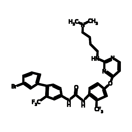 CN(C)CCCCNc1nccc(Oc2ccc(NC(=O)Nc3ccc(-c4cccc(Br)c4)c(C(F)(F)F)c3)c(C(F)(F)F)c2)n1